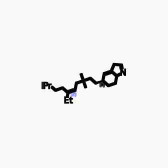 CC/C(=C/CC(C)(C)CC[C@H]1C=C2CC=NC2CC1)CCC(C)C